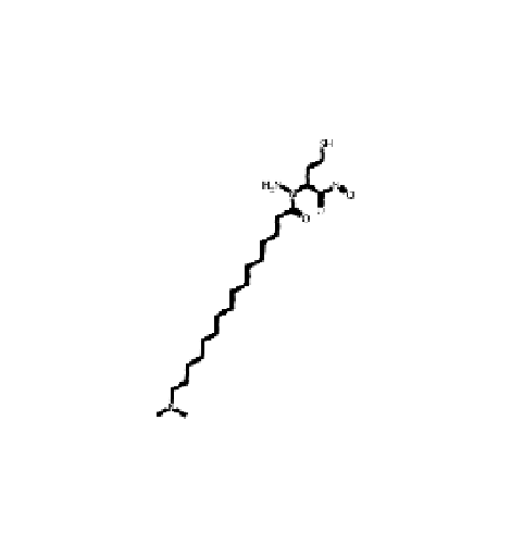 CN(C)CCCCCCCCCCCCCCCC(=O)N(N)C(CCS)C(=O)N=O